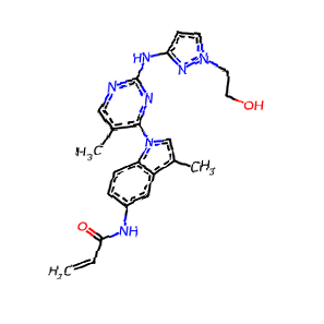 C=CC(=O)Nc1ccc2c(c1)c(C)cn2-c1nc(Nc2ccn(CCO)n2)ncc1C